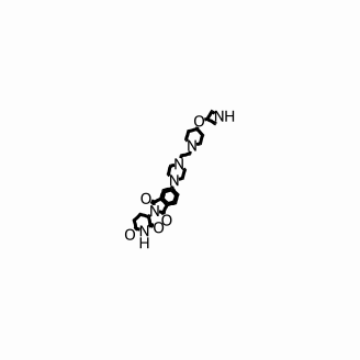 O=C1CCC(N2C(=O)c3ccc(N4CCN(CCN5CCC(OC6CNC6)CC5)CC4)cc3C2=O)C(=O)N1